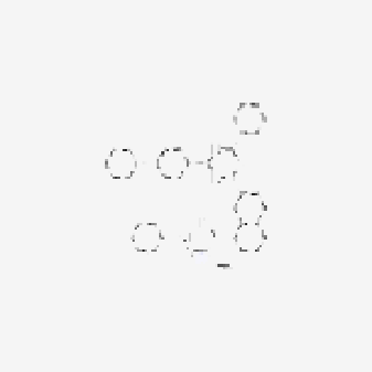 N=C1/C(=N\Nc2ccccc2)C=Cc2ccc3ccc(-c4nc(-c5ccccc5)nc(-c5ccc(-c6ccccc6)cc5)n4)cc3c21